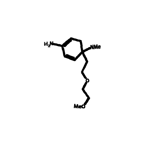 CNC1(CCOCCOC)C=CC(N)=CC1